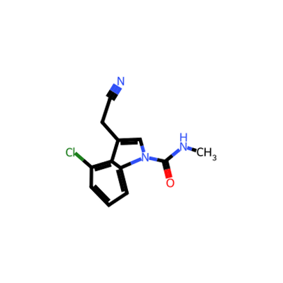 CNC(=O)n1cc(CC#N)c2c(Cl)cccc21